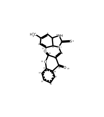 CC1=CC2NC(=S)N(/C=C3\C(=O)Oc4ccccc4C3=O)C2C=C1